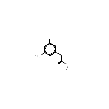 N#Cc1cc(F)cc(CC(=O)NN)c1